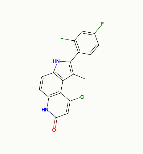 Cc1c(-c2ccc(F)cc2F)[nH]c2ccc3[nH]c(=O)cc(Cl)c3c12